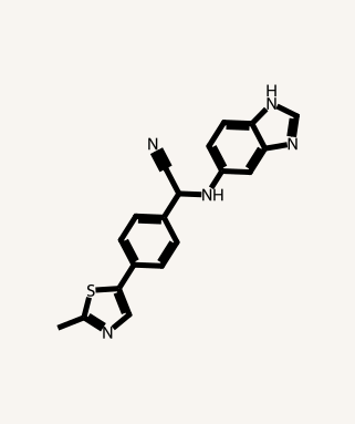 Cc1ncc(-c2ccc(C(C#N)Nc3ccc4[nH]cnc4c3)cc2)s1